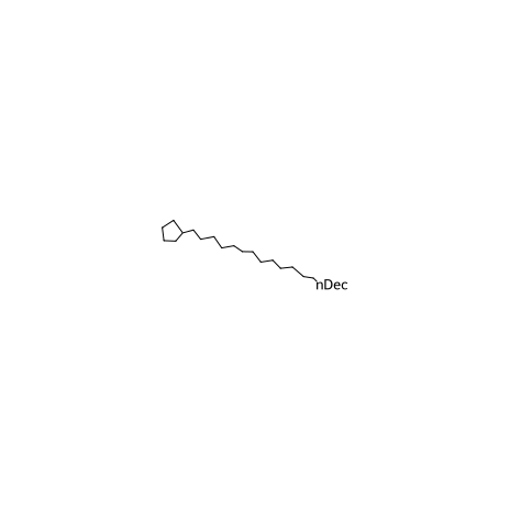 CCCCCCCCCCCCCCCCCCCCCCCC1CCCC1